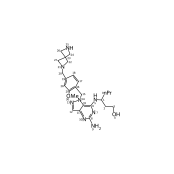 CCCC(CCO)Nc1nc(N)nc2cnn(Cc3ccc(CN4CC5(CNC5)C4)cc3OC)c12